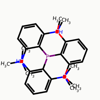 CNc1cccc(NC)c1P(c1c(OC)cccc1OC)c1c(N(C)C)cccc1N(C)C